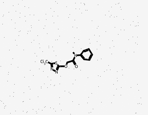 CN(C(=O)COc1nnc(C(Cl)(Cl)Cl)s1)c1ccccc1